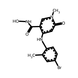 Cc1cc(Br)ccc1Nc1cc(=O)n(C)cc1C(=O)NO